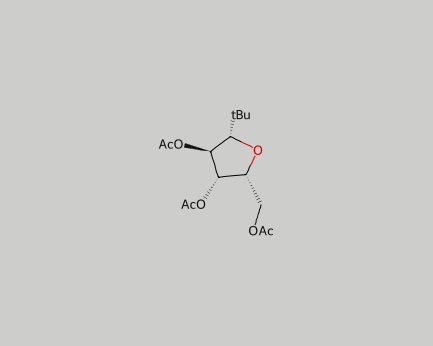 CC(=O)OC[C@H]1O[C@@H](C(C)(C)C)[C@H](OC(C)=O)[C@H]1OC(C)=O